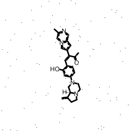 C=C1CCN2CCN(c3ccc(/C=C(\C(C)=O)c4cc5cnc(C)cn5c4)c(O)c3)C[C@H]12